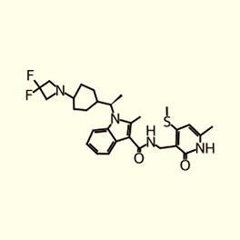 CSc1cc(C)[nH]c(=O)c1CNC(=O)c1c(C)n([C@H](C)C2CCC(N3CC(F)(F)C3)CC2)c2ccccc12